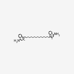 Cc1cc(N)c2ccccc2[n+]1CCCCCCCCCCCCCCCC[n+]1c(C)cc(N)c2ccccc21